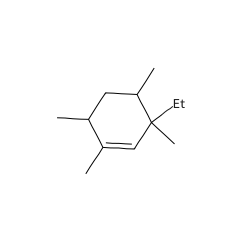 CCC1(C)C=C(C)C(C)CC1C